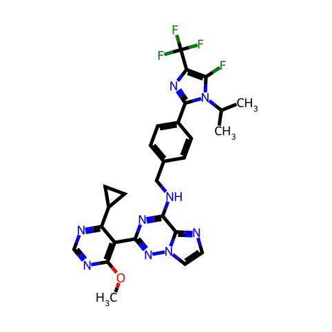 COc1ncnc(C2CC2)c1-c1nc(NCc2ccc(-c3nc(C(F)(F)F)c(F)n3C(C)C)cc2)c2nccn2n1